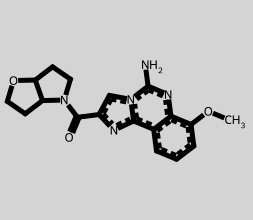 COc1cccc2c1nc(N)n1cc(C(=O)N3CCC4OCCC43)nc21